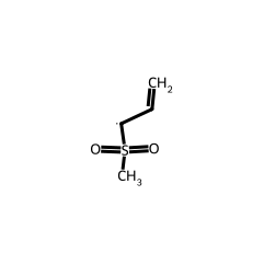 C=C[CH]S(C)(=O)=O